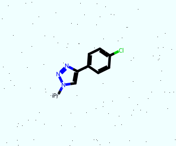 CC(C)n1cc(-c2ccc(Cl)cc2)nn1